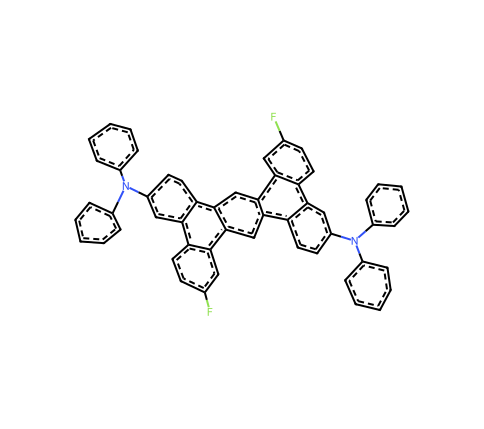 Fc1ccc2c(c1)c1cc3c4ccc(N(c5ccccc5)c5ccccc5)cc4c4ccc(F)cc4c3cc1c1ccc(N(c3ccccc3)c3ccccc3)cc21